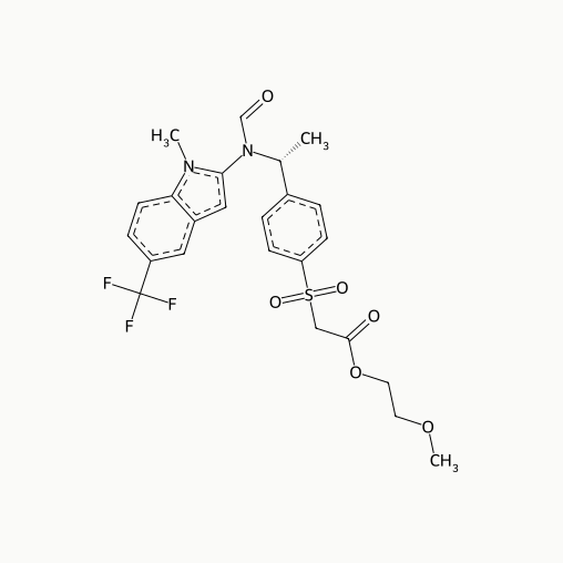 COCCOC(=O)CS(=O)(=O)c1ccc([C@@H](C)N(C=O)c2cc3cc(C(F)(F)F)ccc3n2C)cc1